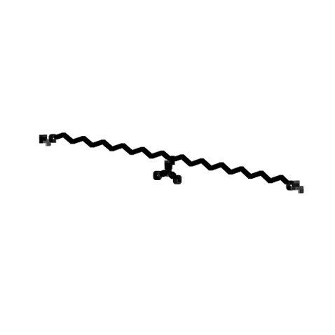 CCCCCCCCCCCCN(CCCCCCCCCCCC)[SH](=O)=O